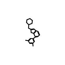 Cc1cc(C)cc(-c2cccc3c2CC(CC2CCCCC2)=C3)c1